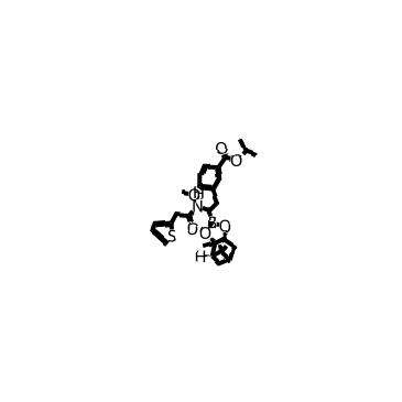 COc1ccc(C(=O)OC(C)C)cc1CC(NC(=O)Cc1cccs1)B1OC2CC3C[C@H](C3(C)C)C2(C)O1